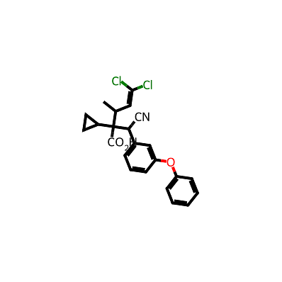 CC(C=C(Cl)Cl)C(C(=O)O)(C1CC1)C(C#N)c1cccc(Oc2ccccc2)c1